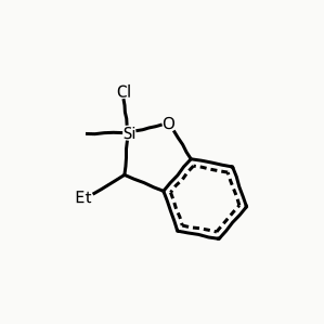 CCC1c2ccccc2O[Si]1(C)Cl